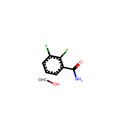 NC(=O)c1cccc(F)c1F.O=CO